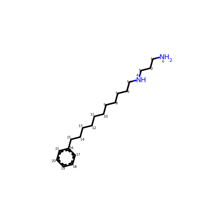 NCCCNCCCCCCCCCCCc1ccccc1